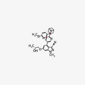 COc1ccc(CN2C3CC2CN(c2ccc(-c4cc(OC[C@@H](C)O)cc5c4c(C#N)nn5C)cn2)C3)cn1